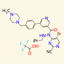 CC(C)CNN(C(=O)c1cncc(-c2ccc(CN3CCN(C)CC3)cc2)c1)c1nc(C#N)ncc1Br.O=C(O)C(F)(F)F